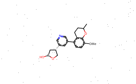 COc1ccc(-c2cncc([C@@H]3COB(O)C3)c2)c2c1OC(C)CC2